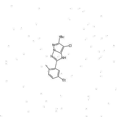 CCc1ccc(C)c(-c2nn3nc(C(C)(C)C)c(Cl)c3[nH]2)c1